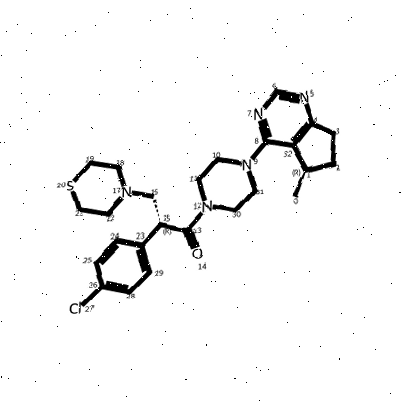 C[C@@H]1CCc2ncnc(N3CCN(C(=O)[C@@H](CN4CCSCC4)c4ccc(Cl)cc4)CC3)c21